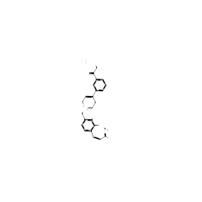 CCC(=O)c1cccc(C2=CCN(Cc3ccc4c(c3O)ON=C(O)C=C4)CC2)c1